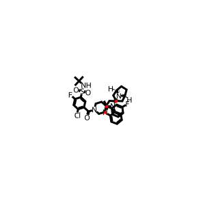 Cc1nc2ccccc2n1[C@H]1C[C@H]2CC[C@@H](C1)N2CCC1(c2cccc(F)c2)CCN(C(=O)c2cc(S(=O)(=O)NC(C)(C)C)c(F)cc2Cl)CC1